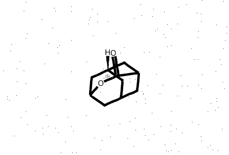 O=C1OC2CC3CC1C[C@H](C3)C2